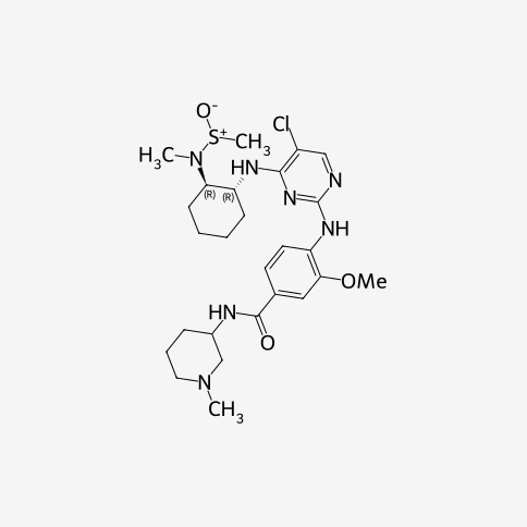 COc1cc(C(=O)NC2CCCN(C)C2)ccc1Nc1ncc(Cl)c(N[C@@H]2CCCC[C@H]2N(C)[S+](C)[O-])n1